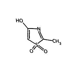 CC1=NC(O)=CS1(=O)=O